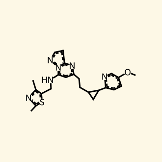 COc1ccc(C2CC2CCc2cc(NCc3sc(C)nc3C)n3nccc3n2)nc1